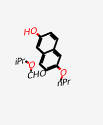 CC(C)OC=O.CCCOc1ccc2cc(O)ccc2c1